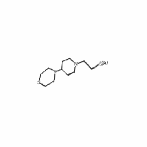 CC(C)(C)CCN1CCC(N2CCOCC2)CC1